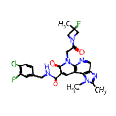 Cc1nc2cnc3c(cc(C(=O)NCc4ccc(Cl)c(F)c4)c(=O)n3CC(=O)N3CC(C)(F)C3)c2n1C